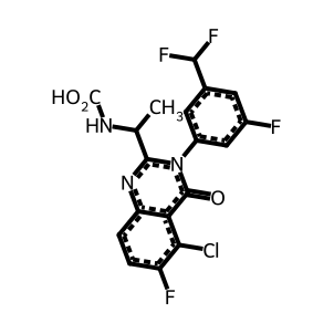 CC(NC(=O)O)c1nc2ccc(F)c(Cl)c2c(=O)n1-c1cc(F)cc(C(F)F)c1